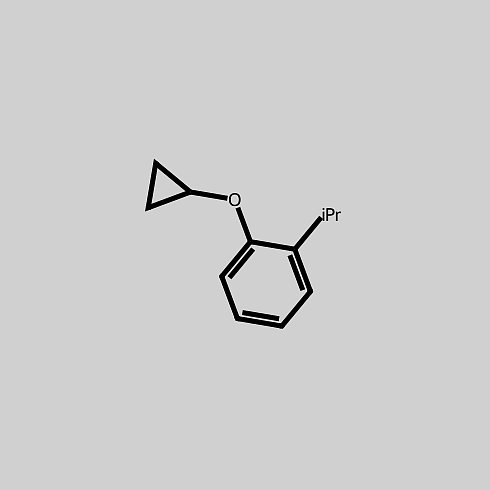 CC(C)c1ccccc1OC1CC1